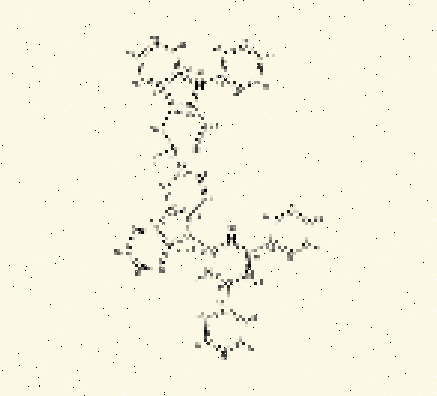 CC1(c2ccc3c(c2)c2ccccc2n3-c2nc(-c3ccccc3)nc(-c3ccccc3)n2)C=Cc2c(c3ccccc3n2-c2ccccc2)C1